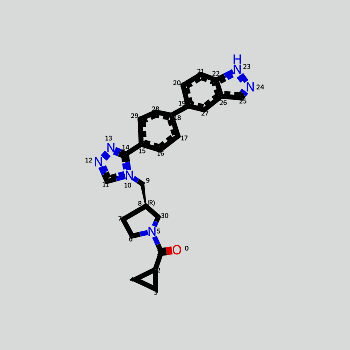 O=C(C1CC1)N1CC[C@@H](Cn2cnnc2-c2ccc(-c3ccc4[nH]ncc4c3)cc2)C1